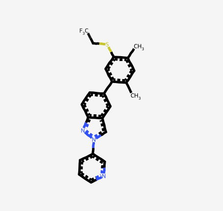 Cc1cc(C)c(-c2ccc3nn(-c4cccnc4)cc3c2)cc1SCC(F)(F)F